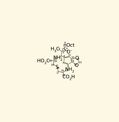 CCCCCCCC[S+]([O-])C(C)Cc1ccc2c(c1)OCO2.NC(CSCC(N)C(=O)O)C(=O)O